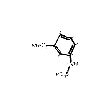 COc1cccc(NS(=O)(=O)O)c1